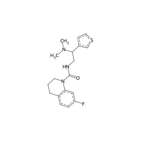 CN(C)C(CNC(=O)N1CCCc2ccc(F)cc21)c1ccsc1